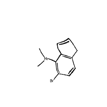 CN(C)c1c(Br)ccc2c1C=CC2